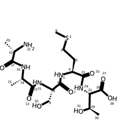 CSCC[C@H](NC(=O)[C@H](CO)NC(=O)[C@H](C)NC(=O)[C@H](C)N)C(=O)N[C@H](C(=O)O)[C@@H](C)O